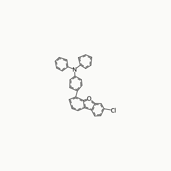 Clc1ccc2c(c1)oc1c(-c3ccc(N(c4ccccc4)c4ccccc4)cc3)cccc12